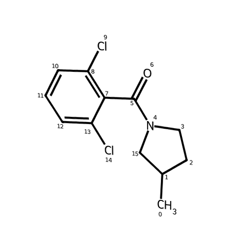 CC1CCN(C(=O)c2c(Cl)cccc2Cl)C1